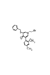 Cc1ccc(-c2cn(CCBr)cc(SCc3ccccc3)c2=O)c(C)c1